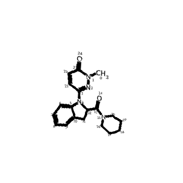 Cn1nc(N2c3ccccc3CC2C(=O)N2CCCCC2)ccc1=O